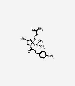 C[SiH](C)O[C@]1(CSCC(N)=O)C[C@H](C(C)(C)C)CN1C(=O)OCc1ccc([N+](=O)[O-])cc1